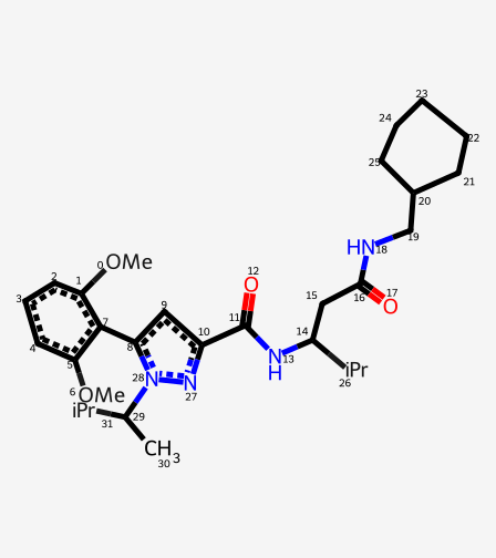 COc1cccc(OC)c1-c1cc(C(=O)NC(CC(=O)NCC2CCCCC2)C(C)C)nn1C(C)C(C)C